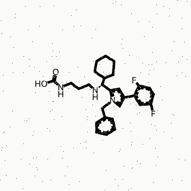 O=C(O)NCCCN[C@@H](c1cc(-c2cc(F)ccc2F)cn1Cc1ccccc1)C1CCCCC1